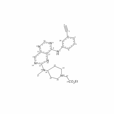 C#Cc1cccc(Nc2ncnc3cnc(N(C)C4CCN(CC(=O)OCC)CC4)nc23)c1